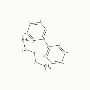 CCCOP.c1ccc(-c2ccccc2)cc1